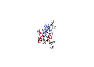 COc1cc(Oc2cnc(NC3CC3)nc2N)c(C(C)C)cc1OC